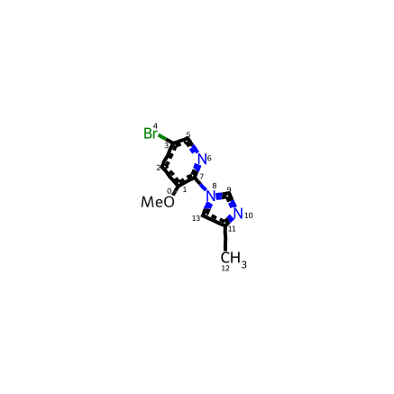 COc1cc(Br)cnc1-n1cnc(C)c1